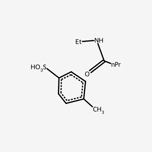 CCCC(=O)NCC.Cc1ccc(S(=O)(=O)O)cc1